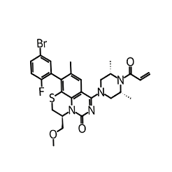 C=CC(=O)N1[C@H](C)CN(c2nc(=O)n3c4c(c(-c5cc(Br)ccc5F)c(C)cc24)SC[C@@H]3COC)C[C@@H]1C